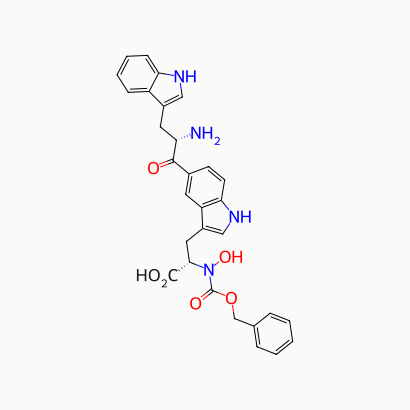 N[C@@H](Cc1c[nH]c2ccccc12)C(=O)c1ccc2[nH]cc(C[C@@H](C(=O)O)N(O)C(=O)OCc3ccccc3)c2c1